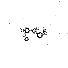 COc1ccc([C@H]2CC(=O)N(c3cccc([S+](C)[O-])c3)C2)cc1OC1CCCC1